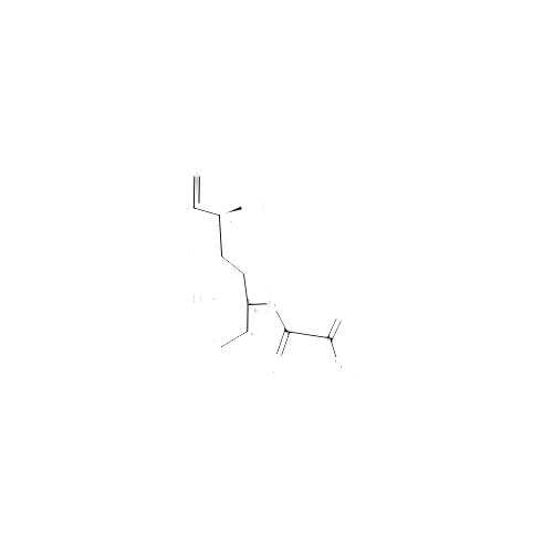 NC(=O)C(=O)N[C@@](O)(CO)[C@@H](O)[C@H](O)[C@H](O)C=O